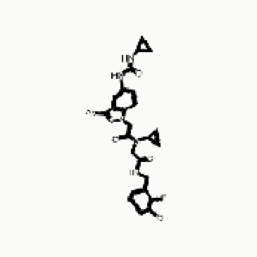 CC(=O)c1nn(CC(=O)N(CC(=O)NCc2cccc(Cl)c2F)C2CC2)c2ccc(NC(=O)NC3CC3)cc12